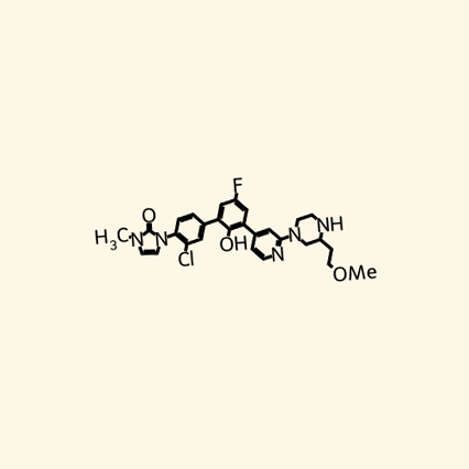 COCCC1CN(c2cc(-c3cc(F)cc(-c4ccc(-n5ccn(C)c5=O)c(Cl)c4)c3O)ccn2)CCN1